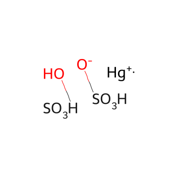 O=S(=O)(O)O.O=S(=O)([O-])O.[Hg+]